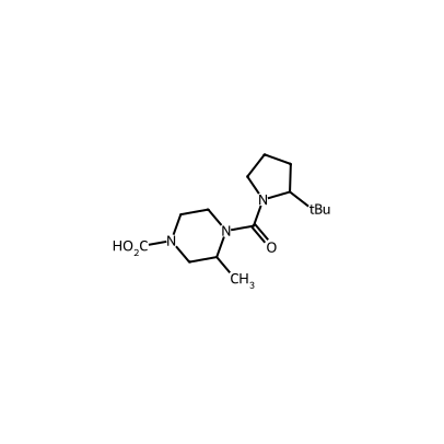 CC1CN(C(=O)O)CCN1C(=O)N1CCCC1C(C)(C)C